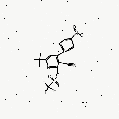 CC(C)(C)c1cc(-c2ccc([N+](=O)[O-])cc2)c(C#N)c(OS(=O)(=O)C(F)(F)F)n1